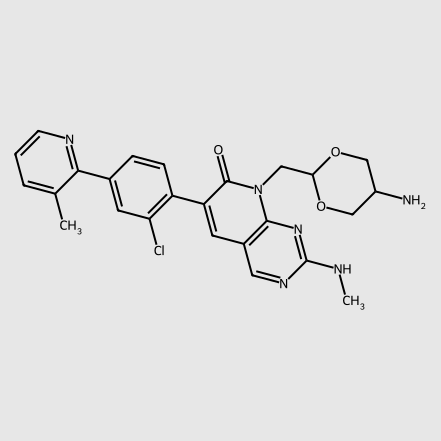 CNc1ncc2cc(-c3ccc(-c4ncccc4C)cc3Cl)c(=O)n(CC3OCC(N)CO3)c2n1